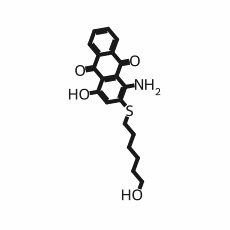 Nc1c(SCCCCCCO)cc(O)c2c1C(=O)c1ccccc1C2=O